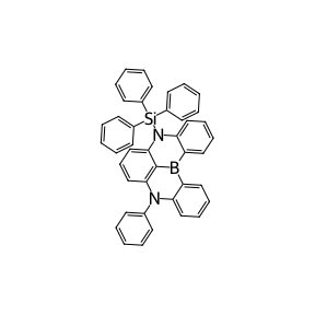 c1ccc(N2c3ccccc3B3c4ccccc4N([Si](c4ccccc4)(c4ccccc4)c4ccccc4)c4cccc2c43)cc1